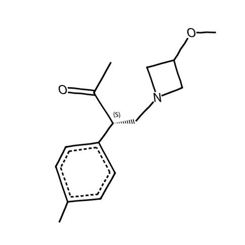 COC1CN(C[C@@H](C(C)=O)c2ccc(C)cc2)C1